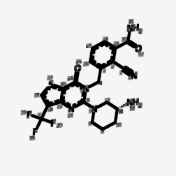 N#Cc1c(Cn2c(N3CCC[C@@H](N)C3)nc3c(C(F)(F)F)csc3c2=O)cccc1C(N)=O